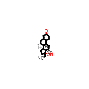 CC[C@]12C=CC3=C4CCC(=O)C=C4C[C@@H](C)[C@H]3[C@@H]1CC[C@@]2(O)CC#N